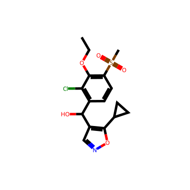 CCOc1c(S(C)(=O)=O)ccc(C(O)c2cnoc2C2CC2)c1Cl